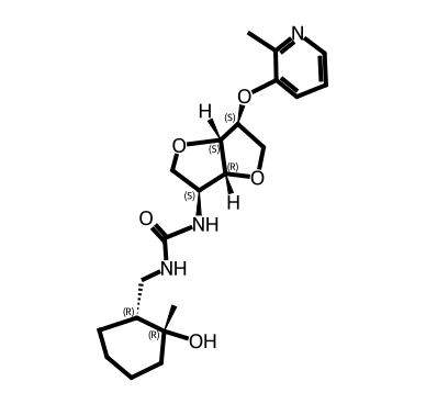 Cc1ncccc1O[C@H]1CO[C@H]2[C@@H]1OC[C@@H]2NC(=O)NC[C@H]1CCCC[C@@]1(C)O